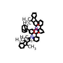 CC1=C(/C=C(\C)N(c2cc(N(c3ccc4c(c3)C(C)(C)c3ccccc3-4)c3ccccc3-c3ccccc3)cc(C34CC5CC(CC(C5)C3)C4)c2)c2ccccc2C2=C=C=CC=C2)C(C)(C)c2ccccc21